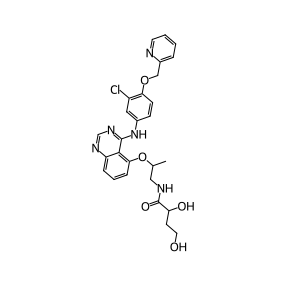 CC(CNC(=O)C(O)CCO)Oc1cccc2ncnc(Nc3ccc(OCc4ccccn4)c(Cl)c3)c12